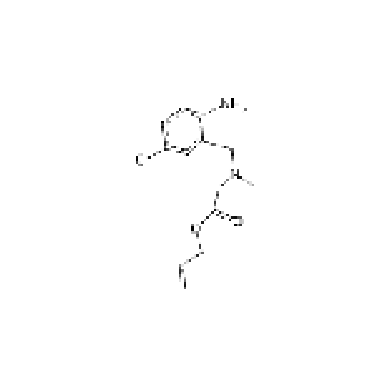 C=CCOC(=O)CN(C)Cc1cc(Cl)ccc1N